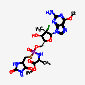 CCOc1nc(N)nc2c1ncn2[C@@H]1O[C@H](COP(=O)(N[C@@H](C)C(=O)OC(C)C)SCC2NC(=O)NC2=O)[C@@H](O)[C@@]1(C)F